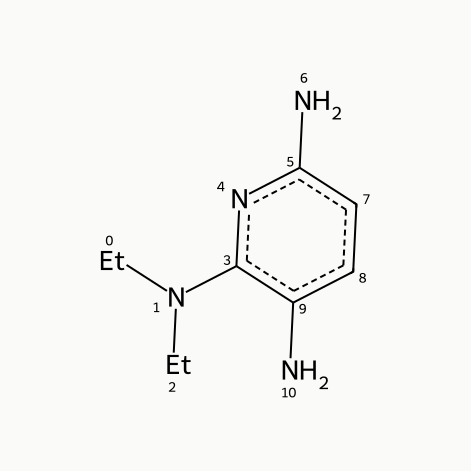 CCN(CC)c1nc(N)ccc1N